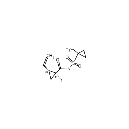 C=C[C@@H]1C[C@]1(I)C(=O)NS(=O)(=O)C1(C)CC1